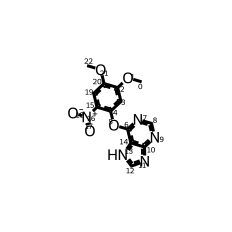 COc1cc(Oc2ncnc3nc[nH]c23)c([N+](=O)[O-])cc1OC